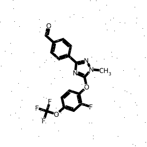 Cn1nc(-c2ccc(C=O)cc2)nc1Oc1ccc(OC(F)(F)F)cc1F